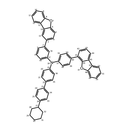 c1cc(-c2ccc3oc4ccccc4c3c2)cc(N(c2ccc(-c3ccc(C4CCCCC4)cc3)cc2)c2ccc(-c3cccc4c3oc3ccccc34)cc2)c1